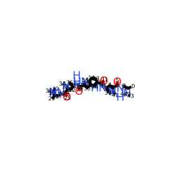 CC(CNC(=O)c1cc(NC(=O)c2ccc3[nH]c(C(=O)Nc4cc(C(=O)NCC(C)N(C)C)n(C)c4)cc3c2)cn1C)N(C)C